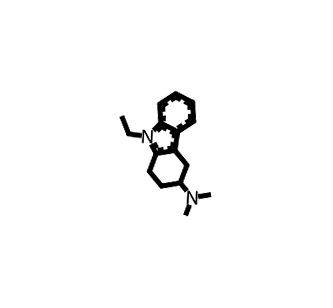 CCn1c2c(c3ccccc31)CC(N(C)C)CC2